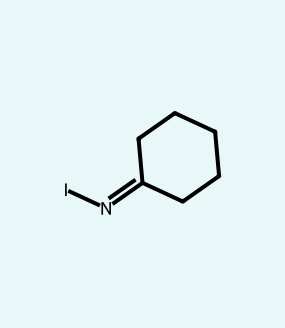 IN=C1CCCCC1